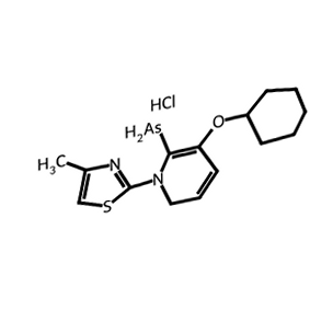 Cc1csc(N2CC=CC(OC3CCCCC3)=C2[AsH2])n1.Cl